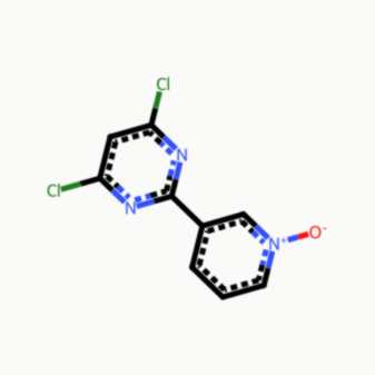 [O-][n+]1cccc(-c2nc(Cl)cc(Cl)n2)c1